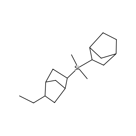 CCC1CC2CC1CC2[Si](C)(C)C1CC2CCC1C2